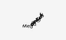 COc1ccc(OC(=O)N2CCC(N(C(=O)c3ccc(-c4cnco4)cc3)C3CC3)CC2)cc1